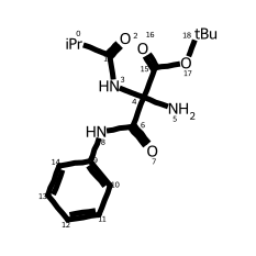 CC(C)C(=O)NC(N)(C(=O)Nc1ccccc1)C(=O)OC(C)(C)C